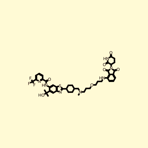 CN(CCCOCCCNc1cccc2c1C(=O)N(C1CCC(=O)NC1=O)C2=O)CC1CCC(c2nc3cc(C(C)(C)O)c(NC(=O)c4cccc(C(F)(F)F)n4)cc3s2)CC1